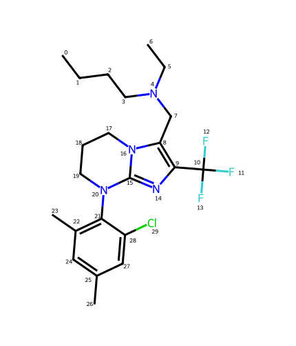 CCCCN(CC)Cc1c(C(F)(F)F)nc2n1CCCN2c1c(C)cc(C)cc1Cl